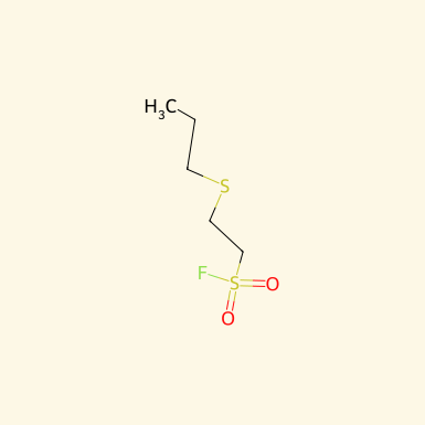 CCCSCCS(=O)(=O)F